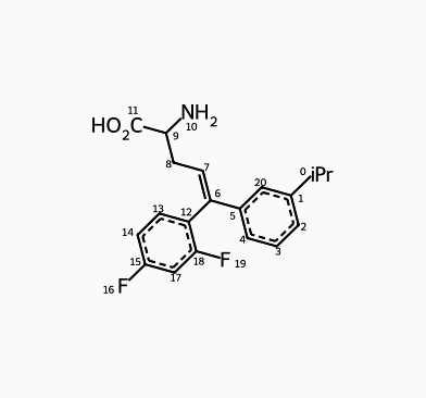 CC(C)c1cccc(C(=CCC(N)C(=O)O)c2ccc(F)cc2F)c1